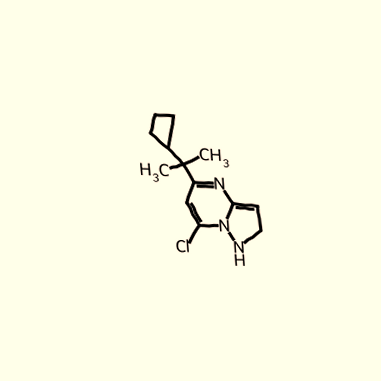 CC(C)(C1=NC2=CCNN2C(Cl)=C1)C1CCC1